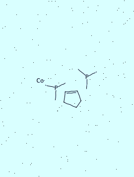 C1=CCCC1.CP(C)C.CP(C)C.[Co]